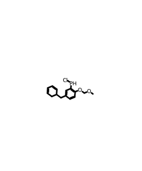 COCOc1ccc(CC2C=CC=CC2)cc1PCl